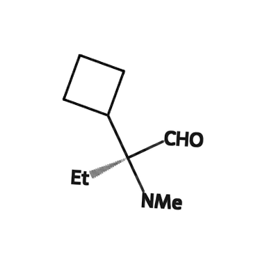 CC[C@](C=O)(NC)C1CCC1